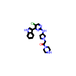 O=C(CN1CCC(Nc2ncc(Cl)c(-c3c[nH]c4ccccc34)n2)C1)N1CCNCC1